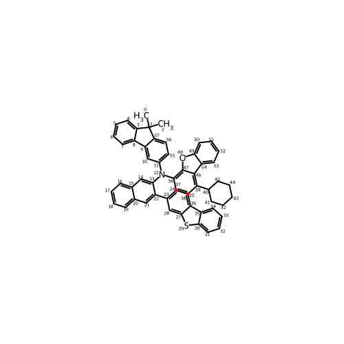 CC1(C)c2ccccc2-c2cc(N(c3cc4ccccc4cc3-c3ccc4c(c3)sc3ccccc34)c3ccc(C4CCCCC4)c4c3oc3ccccc34)ccc21